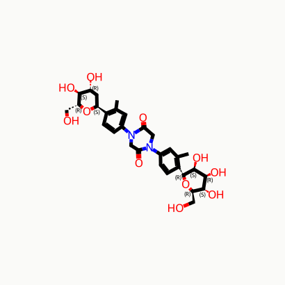 Cc1cc(N2CC(=O)N(c3ccc([C@H]4O[C@H](CO)[C@@H](O)[C@H](O)[C@@H]4O)c(C)c3)CC2=O)ccc1[C@@H]1C[C@@H](O)[C@H](O)[C@@H](CO)O1